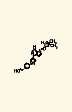 C[Si](C)(C)CCOCn1ccc2c1NC=NC2c1cnn([C@H]2CC[C@@H](CCO)CC2)c1